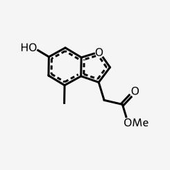 COC(=O)Cc1coc2cc(O)cc(C)c12